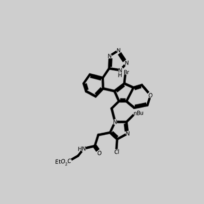 CCCCc1nc(Cl)c(CC(=O)NCC(=O)OCC)n1Cc1c2ccocc-2c(Br)c1-c1ccccc1-c1nnn[nH]1